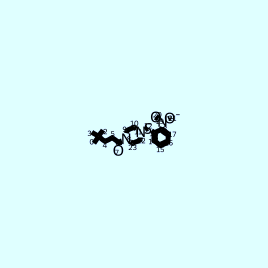 CC(C)(C)CCC(=O)N1CCN(Sc2ccccc2[N+](=O)[O-])CC1